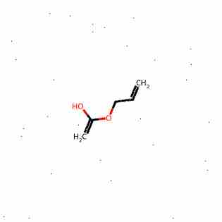 C=CCOC(=C)O